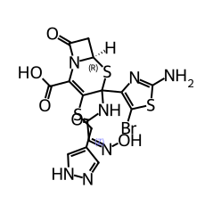 Nc1nc(C2(NC(=O)/C=N\O)S[C@@H]3CC(=O)N3C(C(=O)O)=C2SCc2cn[nH]c2)c(Br)s1